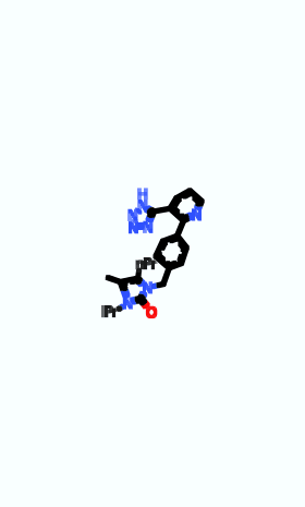 CCCc1c(C)n(C(C)C)c(=O)n1Cc1ccc(-c2ncccc2-c2nnn[nH]2)cc1